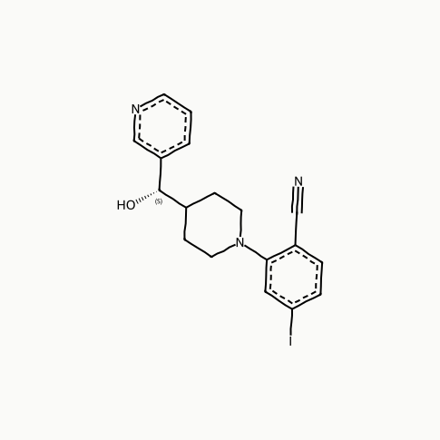 N#Cc1ccc(I)cc1N1CCC([C@H](O)c2cccnc2)CC1